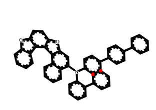 c1ccc(-c2ccc(-c3ccc(N(c4ccccc4-c4ccccc4)c4cc5oc6ccc7oc8ccccc8c7c6c5c5ccccc45)cc3)cc2)cc1